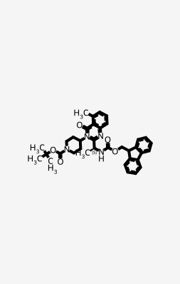 Cc1cccc2nc([C@H](C)NC(=O)OCC3c4ccccc4-c4ccccc43)n(C3CCN(C(=O)OC(C)(C)C)CC3)c(=O)c12